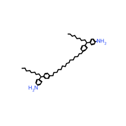 CCCCCCCCC(c1ccc(N)cc1)c1ccc(CCCCCCCCCCCCCCCc2ccc(C(CCCCCCCC)c3ccc(N)cc3)cc2)cc1